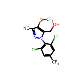 N#Cc1nn(-c2c(Cl)cc(C(F)(F)F)cc2Cl)c(CO)c1SC(F)(F)F